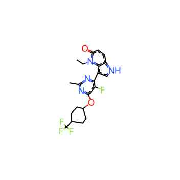 CCn1c(=O)ccc2[nH]cc(-c3nc(C)nc(OC4CCC(C(F)(F)F)CC4)c3F)c21